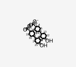 O=[N+]([O-])c1ccc(-c2ccc(O)cc2)cc1.O=[N+]([O-])c1ccc(-c2ccc(O)cc2)cc1